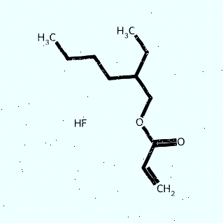 C=CC(=O)OCC(CC)CCCC.F